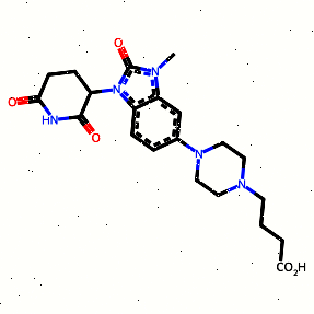 Cn1c(=O)n(C2CCC(=O)NC2=O)c2ccc(N3CCN(CCCC(=O)O)CC3)cc21